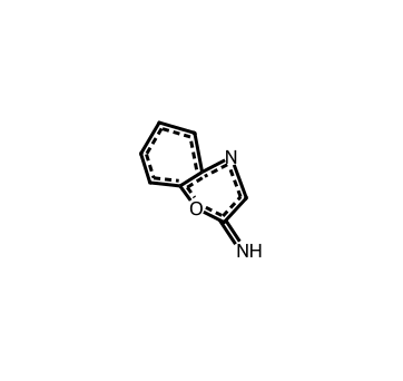 N=c1cnc2ccccc2o1